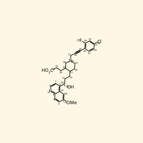 COc1ccc2nccc([C@@H](O)CCC3CCN(CC#Cc4ccc(Cl)cc4F)CC3CCC(=O)O)c2c1